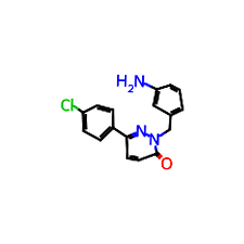 Nc1cccc(Cn2nc(-c3ccc(Cl)cc3)ccc2=O)c1